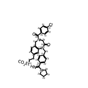 CCOC(=O)CCc1ccc2c(c1)N(Cc1ccc(C(=N)N3CCCC3)cc1)C(=O)CN(C(=O)c1ccc(Cl)cc1)C2